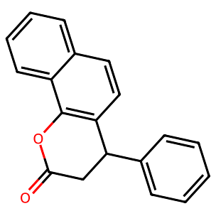 O=C1CC(c2ccccc2)c2ccc3ccccc3c2O1